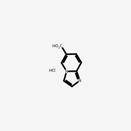 Cl.O=C(O)c1ccc2nccn2c1